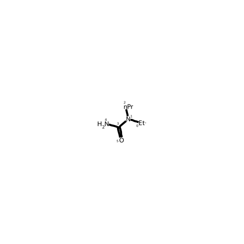 C[CH]N(CCC)C(N)=O